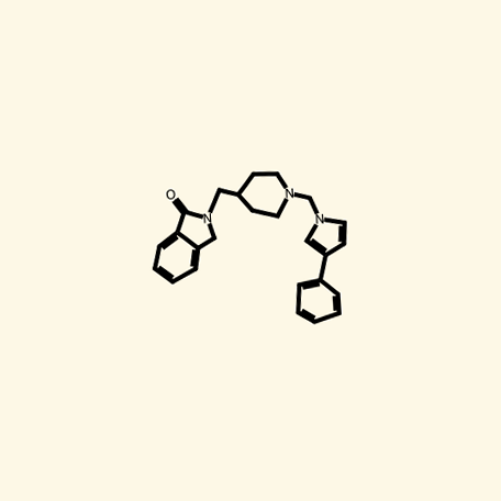 O=C1c2ccccc2CN1CC1CCN(Cn2ccc(-c3ccccc3)c2)CC1